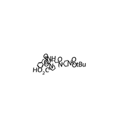 CN(C(=O)CC[C@@H](NS(=O)(=O)Cc1ccccc1)C(=O)N1CCC[C@H]1C(=O)O)C1CCN(C(=O)OC(C)(C)C)CC1